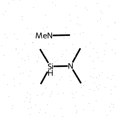 CN(C)[SiH](C)C.CNC